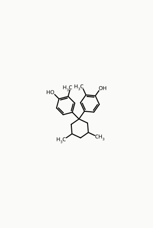 Cc1cc(C2(c3ccc(O)c(C)c3)CC(C)CC(C)C2)ccc1O